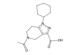 CC(=O)N1CCc2c(c(C(=O)O)nn2C2CCCCC2)C1